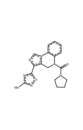 CC(C)(C)c1noc(-c2ncn3c2CN(C(=O)N2CCCC2)c2ccccc2-3)n1